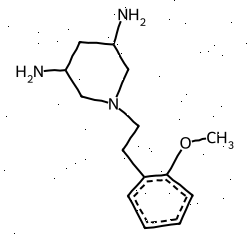 COc1ccccc1CCN1CC(N)CC(N)C1